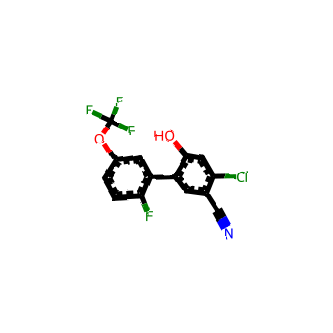 N#Cc1cc(-c2cc(OC(F)(F)F)ccc2F)c(O)cc1Cl